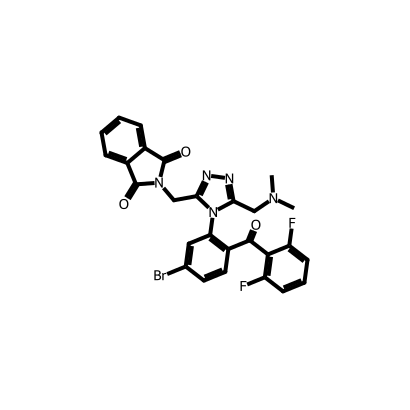 CN(C)Cc1nnc(CN2C(=O)c3ccccc3C2=O)n1-c1cc(Br)ccc1C(=O)c1c(F)cccc1F